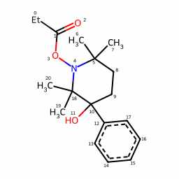 CCC(=O)ON1C(C)(C)CCC(O)(c2ccccc2)C1(C)C